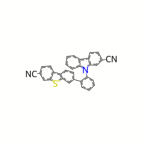 N#Cc1ccc2c(c1)sc1cc(-c3ccccc3-n3c4ccccc4c4ccc(C#N)cc43)ccc12